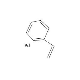 C=Cc1ccccc1.[Pd]